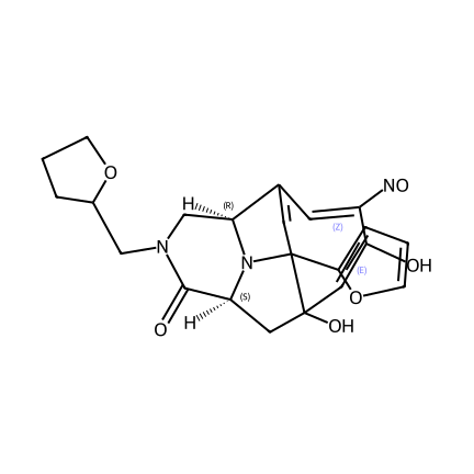 O=NC1=C\C2=CC3(c4ccco4)N4[C@@H](CC3(O)/C=C\1O)C(=O)N(CC1CCCO1)C[C@@H]24